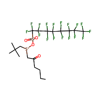 CCCCC(=O)C[S+](CC(C)(C)C)OS(=O)(=O)C(F)(F)C(F)(F)C(F)(F)C(F)(F)C(F)(F)C(F)(F)C(F)(F)C(F)(F)F